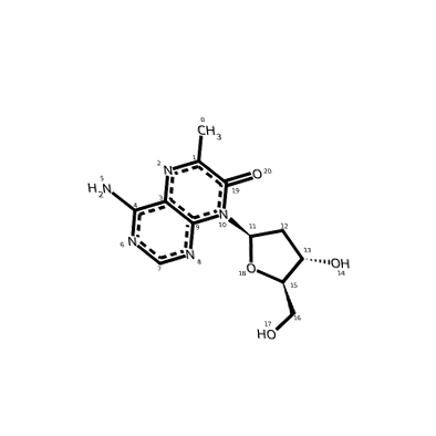 Cc1nc2c(N)ncnc2n([C@H]2C[C@H](O)[C@@H](CO)O2)c1=O